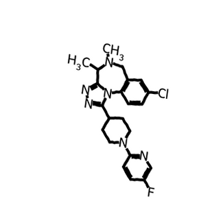 CC1c2nnc(C3CCN(c4ccc(F)cn4)CC3)n2-c2ccc(Cl)cc2CN1C